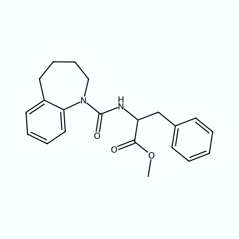 COC(=O)C(Cc1ccccc1)NC(=O)N1CCCCc2ccccc21